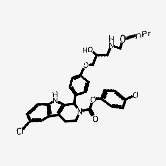 CCCOCNCC(O)COc1ccc(C2c3[nH]c4ccc(Cl)cc4c3CCN2C(=O)Oc2ccc(Cl)cc2)cc1